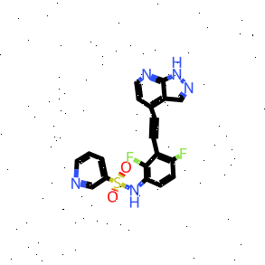 O=S(=O)(Nc1ccc(F)c(C#Cc2ccnc3[nH]ncc23)c1F)c1cccnc1